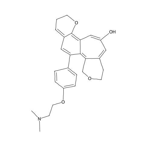 CN(C)CCOc1ccc(-c2cc3c(c4c2=C2COCCC2=CC(O)=C4)OCCC=3)cc1